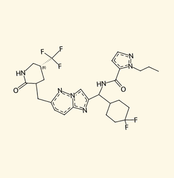 CCCn1nccc1C(=O)NC(c1cn2nc(CC3C[C@@H](C(F)(F)F)CNC3=O)ccc2n1)C1CCC(F)(F)CC1